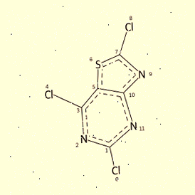 Clc1nc(Cl)c2sc(Cl)nc2n1